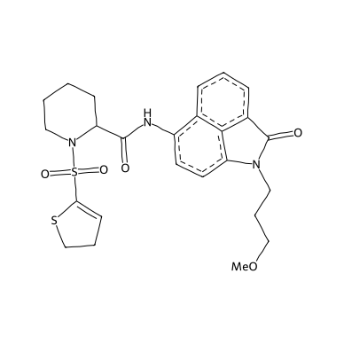 COCCCN1C(=O)c2cccc3c(NC(=O)C4CCCCN4S(=O)(=O)C4=CCCS4)ccc1c23